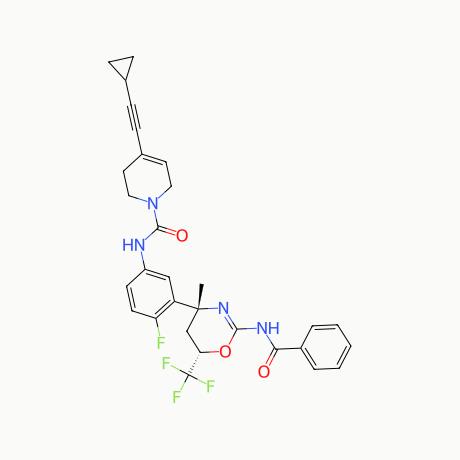 C[C@]1(c2cc(NC(=O)N3CC=C(C#CC4CC4)CC3)ccc2F)C[C@@H](C(F)(F)F)OC(NC(=O)c2ccccc2)=N1